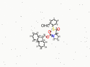 O=Cc1ccccc1SC(=O)[C@H]1CCCN1C(=O)OCC1c2ccccc2-c2ccccc21